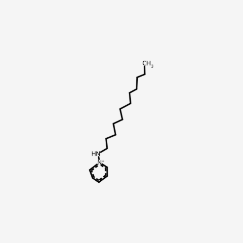 CCCCCCCCCCCCN[n+]1ccccc1